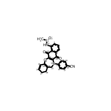 C[S+]([O-])Nc1cccc2c1C(=O)C1=C(B(c3ccc(C#N)cc3)CC3=C(C=CCC3)O1)C2=O